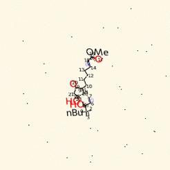 CCCCC(C)(C)[C@H](O)/C=C\[C@H]1[C@H](CCCC/C=C/C(=O)OC)C(=O)C[C@@H]1O